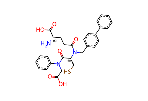 N[C@@H](CCC(=O)N(Cc1ccc(-c2ccccc2)cc1)[C@@H](CS)C(=O)N(CC(=O)O)c1ccccc1)C(=O)O